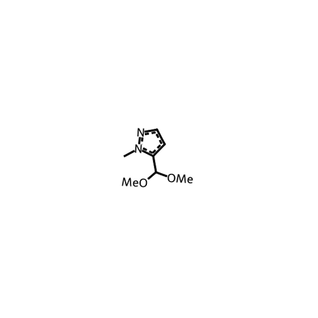 COC(OC)c1ccnn1C